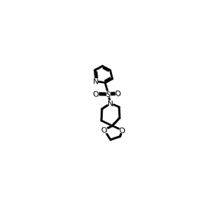 O=S(=O)(c1ccccn1)N1CCC2(CC1)OCCO2